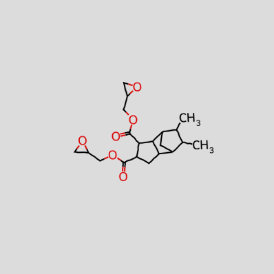 CC1C(C)C2CC1C1CC(C(=O)OCC3CO3)C(C(=O)OCC3CO3)C21